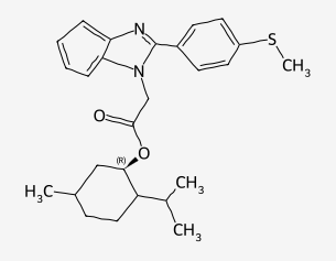 CSc1ccc(-c2nc3ccccc3n2CC(=O)O[C@@H]2CC(C)CCC2C(C)C)cc1